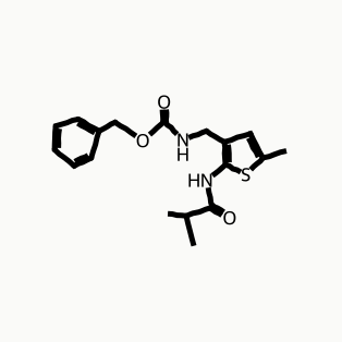 Cc1cc(CNC(=O)OCc2ccccc2)c(NC(=O)C(C)C)s1